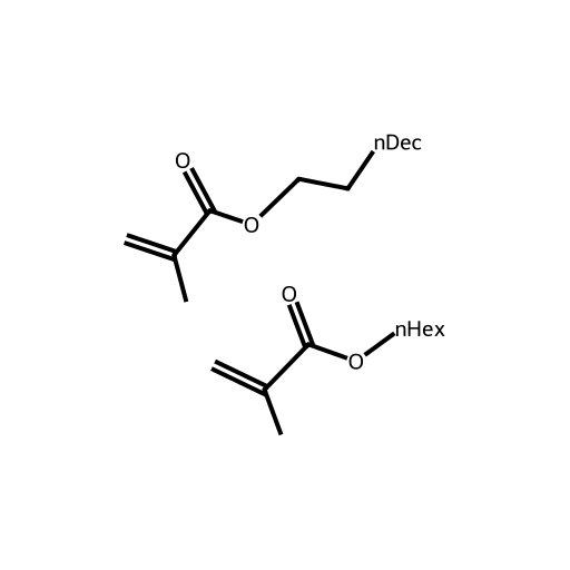 C=C(C)C(=O)OCCCCCC.C=C(C)C(=O)OCCCCCCCCCCCC